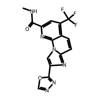 CNC(=O)c1cc(C(F)(F)F)c2ccc3nc(-c4nnco4)cn3c2n1